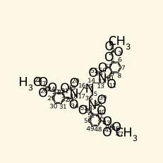 COC(=O)Oc1cccc2c(=O)n(CCN(CCn3c(=O)oc4c(OC(=O)OC)cccc4c3=O)CCn3c(=O)oc4c(OC(=O)OC)cccc4c3=O)c(=O)oc12